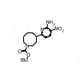 CC(C)(C)OC(=O)N1CCCCC(c2ccc([N+](=O)[O-])c(N)n2)CC1